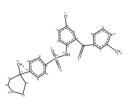 Cc1cc(C(=O)c2cc(Cl)ccc2NS(=O)(=O)c2ccc(C3(C)CCOCC3)cc2)ccn1